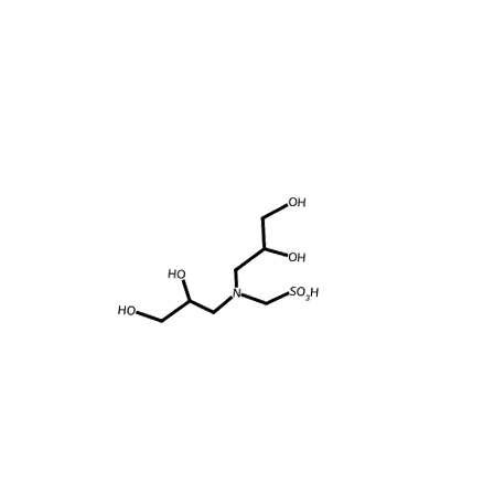 O=S(=O)(O)CN(CC(O)CO)CC(O)CO